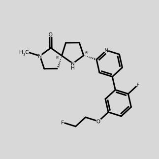 CN1CC[C@@]2(CC[C@H](c3cc(-c4cc(OCCF)ccc4F)ccn3)N2)C1=O